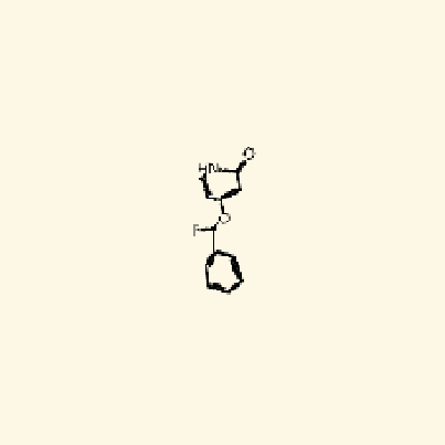 O=c1cc(OC(F)c2ccccc2)cc[nH]1